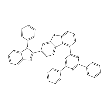 c1ccc(-c2cc(-c3cccc4oc5cc(-c6nc7ccccc7n6-c6ccccc6)ccc5c34)nc(-c3ccccc3)n2)cc1